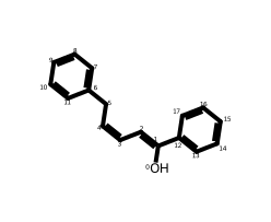 O/C(=C\C=C/Cc1ccccc1)c1ccccc1